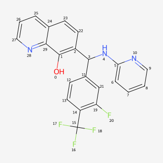 Oc1c(C(Nc2ccccn2)c2ccc(C(F)(F)F)c(F)c2)ccc2cccnc12